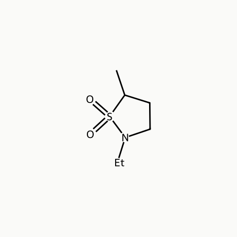 CCN1CCC(C)S1(=O)=O